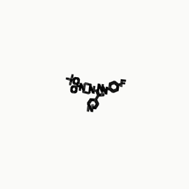 CC(C)(C)OC(=O)N1CCN(c2nn(-c3ccc(F)cc3)cc2-c2ccncc2)CC1